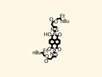 CCCCC(CC)COC(=O)Cc1csc(N2C(=O)c3ccc4c5c(ccc(c35)C2=O)C(O)N(c2nc(CC(=O)OCC(CC)CCCC)cs2)C4=O)n1